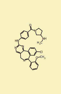 CNC1CCN(C(=O)c2ccc(Nc3ncc4c(n3)-c3ccc(Cl)cc3C(c3ccccc3OC)=NC4)cc2)C1